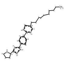 CCCCCCCCCCc1cnc(-c2ccc(-c3nnc(C4CCCO4)s3)cc2)nc1